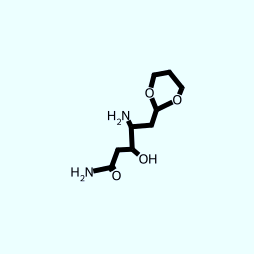 NC(=O)CC(O)C(N)CC1OCCCO1